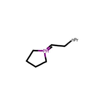 CCCCC=[PH]1CCCC1